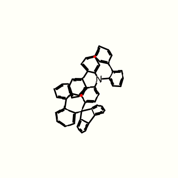 c1ccc(-c2ccccc2N(c2ccc3c(c2)-c2ccccc2-c2ccccc2C32c3ccccc3-c3ccccc32)c2ccccc2-c2ccccc2)cc1